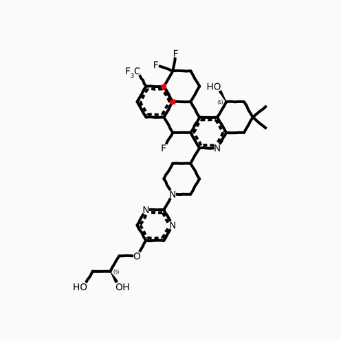 CC1(C)Cc2nc(C3CCN(c4ncc(OC[C@@H](O)CO)cn4)CC3)c(C(F)c3ccc(C(F)(F)F)cc3)c(C3CCC(F)(F)CC3)c2[C@@H](O)C1